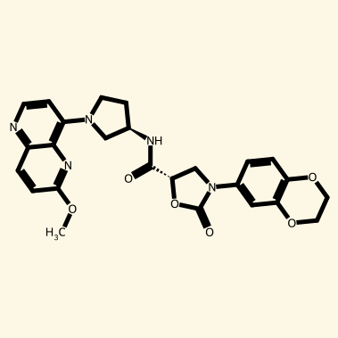 COc1ccc2nccc(N3CC[C@@H](NC(=O)[C@@H]4CN(c5ccc6c(c5)OCCO6)C(=O)O4)C3)c2n1